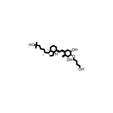 C=C1C(=CC=C2CCC[C@]3(C)[C@@H]([C@H](C)CCCC(C)(C)O)CC[C@@H]23)C[C@@H](O)[C@@H](OCCCCO)[C@@H]1O